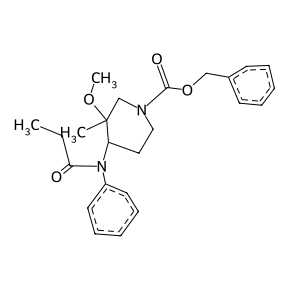 CCC(=O)N(c1ccccc1)C1CCN(C(=O)OCc2ccccc2)CC1(C)OC